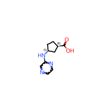 O=C(O)[C@@H]1CC[C@H](Nc2cnccn2)C1